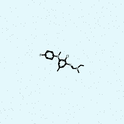 CCN(C)C=Nc1cc(C)cc(N(C)c2ccc(F)cc2)c1Cl